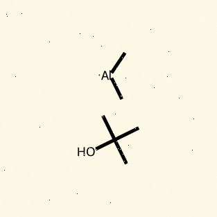 CC(C)(C)O.[CH3][Al][CH3]